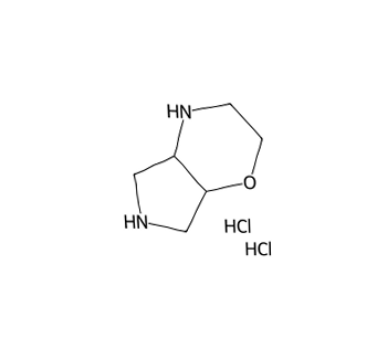 C1COC2CNCC2N1.Cl.Cl